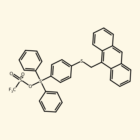 O=S(=O)(OS(c1ccccc1)(c1ccccc1)c1ccc(SCc2c3ccccc3cc3ccccc23)cc1)C(F)(F)F